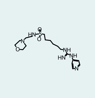 N=C(NCCCCCCS(=O)(=O)NCCN1CCOCC1)Nc1ccncc1